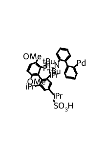 COc1ccc(OC)c(P(C(C)(C)C)C(C)(C)C)c1-c1c(C(C)C)cc(C(C)C)cc1C(C)C.CS(=O)(=O)O.Nc1ccccc1-c1cccc[c]1[Pd]